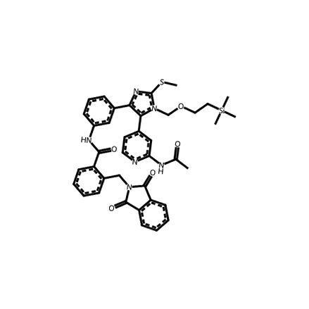 CSc1nc(-c2cccc(NC(=O)c3ccccc3CN3C(=O)c4ccccc4C3=O)c2)c(-c2ccnc(NC(C)=O)c2)n1COCC[Si](C)(C)C